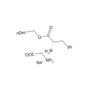 CCCCCCCCCCCOC(=O)[C@@H](N)CC(C)C.NCC(=O)[O-].[Na+]